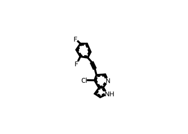 Fc1ccc(C#Cc2cnc3[nH]ccc3c2Cl)c(F)c1